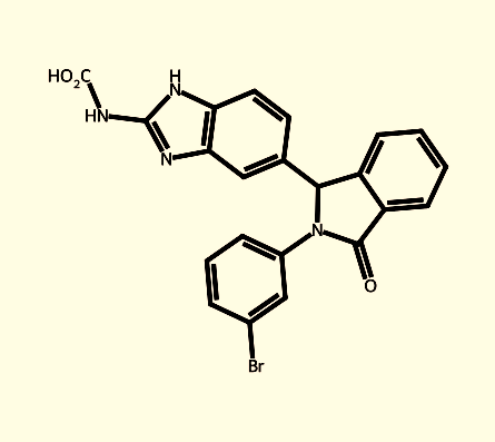 O=C(O)Nc1nc2cc(C3c4ccccc4C(=O)N3c3cccc(Br)c3)ccc2[nH]1